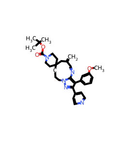 C=C1/C=N\c2c(-c3cccc(OC)c3)c(-c3ccncc3)nn2CCCC2(CCN(C(=O)OC(C)(C)C)CC2)C1